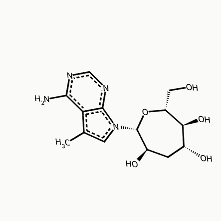 Cc1cn([C@@H]2O[C@H](CO)[C@@H](O)[C@H](O)C[C@H]2O)c2ncnc(N)c12